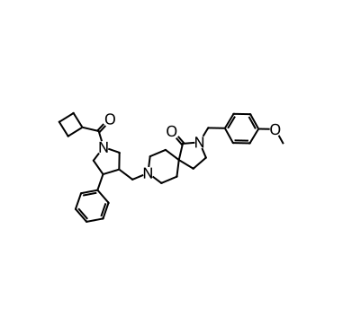 COc1ccc(CN2CCC3(CCN(CC4CN(C(=O)C5CCC5)CC4c4ccccc4)CC3)C2=O)cc1